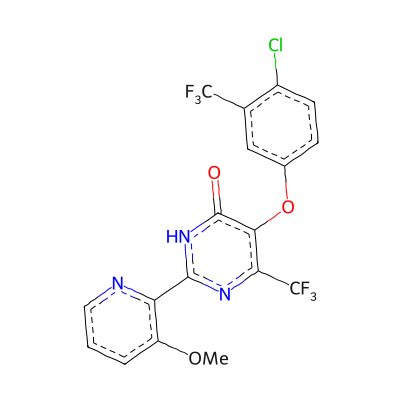 COc1cccnc1-c1nc(C(F)(F)F)c(Oc2ccc(Cl)c(C(F)(F)F)c2)c(=O)[nH]1